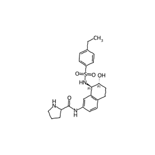 CCc1ccc(S(=O)(=O)N[C@@H]2c3cc(NC(=O)C4CCCN4)ccc3CC[C@H]2O)cc1